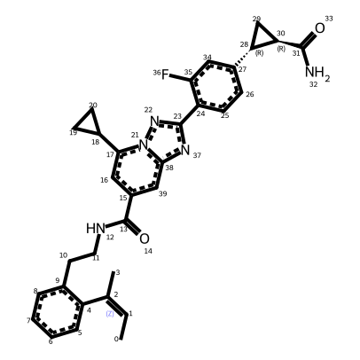 C/C=C(/C)c1ccccc1CCNC(=O)c1cc(C2CC2)n2nc(-c3ccc([C@@H]4C[C@H]4C(N)=O)cc3F)nc2c1